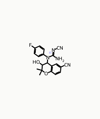 CC1(C)Oc2ccc(C#N)cc2C(N(/C(N)=N/C#N)c2ccc(F)cc2)C1O